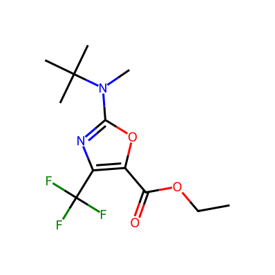 CCOC(=O)c1oc(N(C)C(C)(C)C)nc1C(F)(F)F